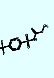 COC(=O)NS(=O)(=O)c1ccc(C(F)(F)F)cn1